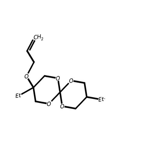 C=CCOC1(CC)COC2(OCC([CH]C)CO2)OC1